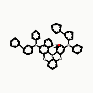 c1ccc(-c2cccc(N(c3ccccc3)c3cc4c(c5ccccc35)B3c5c(cccc5Oc5cc(N(c6ccccc6)c6cccc(-c7ccccc7)c6)c6ccccc6c53)O4)c2)cc1